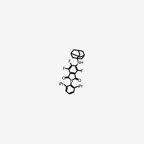 CC(C)c1cccc(C(C)C)c1N1C(=O)c2c(F)c(F)c(NC34CC5CC(CC(C5)C3)C4)c(F)c2C1=O